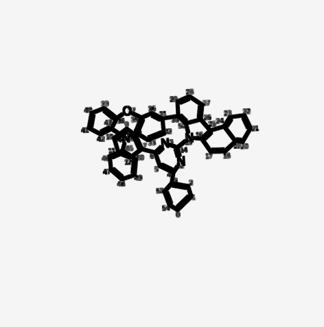 c1ccc(-c2cc(-c3ccccc3)nc(-n3c4ccc5ccccc5c4c4cccc(-c5ccc6c(c5)Oc5ccccc5N6c5ccccc5)c43)n2)cc1